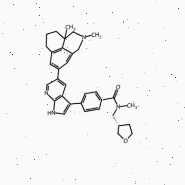 CN1Cc2cc(-c3cnc4[nH]cc(-c5ccc(C(=O)N(C)C[C@@H]6CCOC6)cc5)c4c3)cc3c2C(C)(CCC3)C1